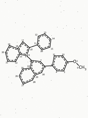 COc1ccc(-c2cc(-n3c(-c4ccccc4)cc4ccccc43)c3ccccc3c2)cc1